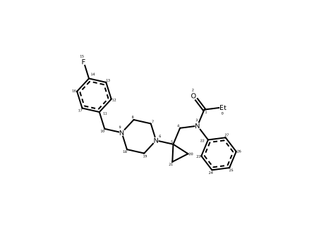 CCC(=O)N(CC1(N2CCN(Cc3ccc(F)cc3)CC2)CC1)c1ccccc1